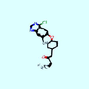 C=CC(=O)CC1CCC(Oc2cc3c(Cl)ncnc3cc2OC)CC1